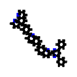 c1ccc(-c2cc(-c3ccccc3)nc(-c3ccc4ccc(-c5ccc6nc(-c7ccc(-c8cc9cccnc9c9ncccc89)cc7)ccc6c5)cc4n3)n2)cc1